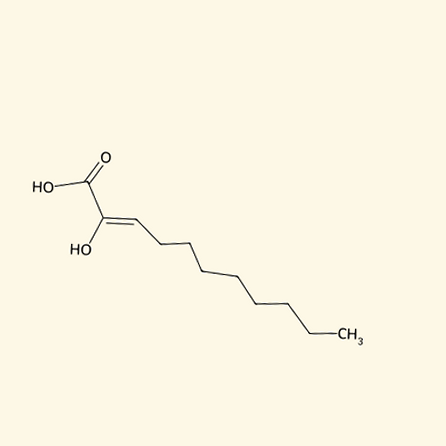 CCCCCCCCC=C(O)C(=O)O